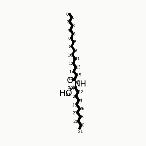 CCCCCCCCCCCCCCCCC(=O)N[C@@H](CO)CCCCCCCCCC